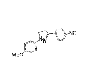 [C-]#[N+]c1ccc(C2=NN(c3ccc(OC)cc3)CC2)cc1